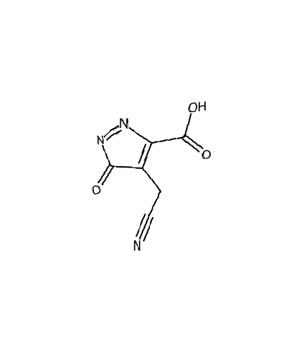 N#CCC1=C(C(=O)O)N=NC1=O